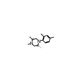 Cc1ccc(N2C[C@H](C)N(C)C[C@H]2C)c(C)c1